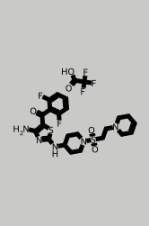 Nc1nc(NC2CCN(S(=O)(=O)CCN3CC=CCC3)CC2)sc1C(=O)c1c(F)cccc1F.O=C(O)C(F)(F)F